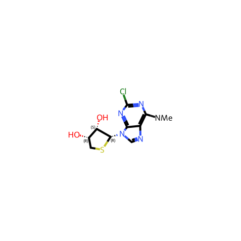 CNc1nc(Cl)nc2c1ncn2[C@@H]1SC[C@H](O)[C@@H]1O